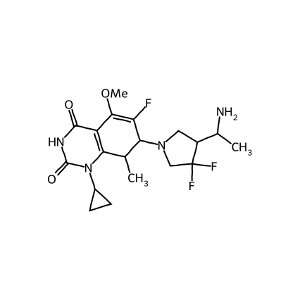 COC1=C(F)C(N2CC(C(C)N)C(F)(F)C2)C(C)c2c1c(=O)[nH]c(=O)n2C1CC1